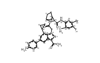 CC(=O)c1nn(CC(=O)N2C3CCC(C3)[C@H]2C(=O)Nc2nc(Br)c(F)cc2C)c2c(C3CC3)cc(-c3cnc(C)nc3)cc12